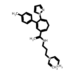 C=CN(/C=C\C)CCCNC(=C)C1=CCC=C(n2cccn2)C(c2ccc(C)cc2)=C1